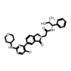 C[C@@H](O)[C@@H](NC(=O)CN1Cc2ccc(-c3nc(NC4CCOCC4)ncc3Cl)cc2C1=O)c1ccccc1